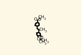 COC(=O)c1ccc(/C=C(\C)c2ccc3c(c2)OC(C)(C)O3)cc1